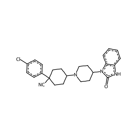 N#CC1(c2ccc(Cl)cc2)CCC(N2CCC(n3c(=O)[nH]c4ccccc43)CC2)CC1